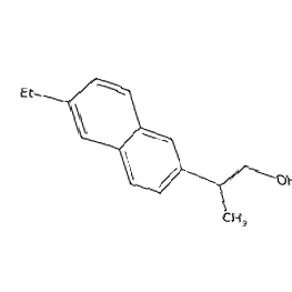 CCc1ccc2cc(C(C)CO)ccc2c1